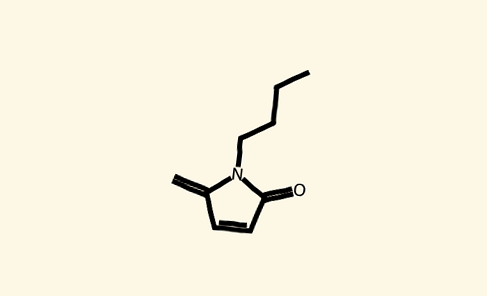 C=C1C=CC(=O)N1CCCC